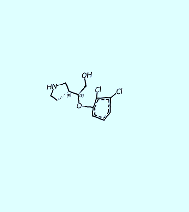 OC[C@@H](Oc1cccc(Cl)c1Cl)[C@@H]1CCNC1